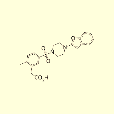 Cc1ccc(S(=O)(=O)N2CCN(c3cc4ccccc4o3)CC2)cc1CC(=O)O